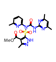 COC(=O)c1c(C)n[nH]c1S(=O)(=O)N(C(=O)Nc1nc(C)cc(C)n1)c1cccc(C)n1